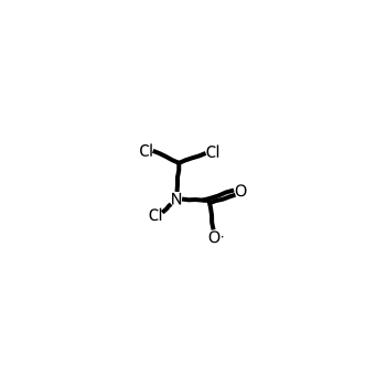 [O]C(=O)N(Cl)C(Cl)Cl